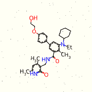 CCN(c1cc(-c2ccc(OCCO)cc2)cc(C(=O)NCc2c(C)cc(C)[nH]c2=O)c1C)C1CCCCC1